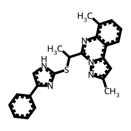 Cc1cc2c3cccc(C)c3nc(C(C)Sc3nc(-c4ccccc4)c[nH]3)n2n1